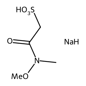 CON(C)C(=O)CS(=O)(=O)O.[NaH]